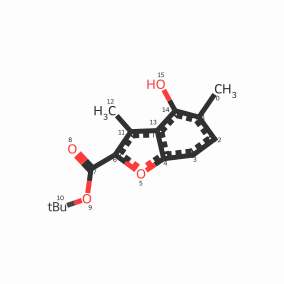 Cc1ccc2oc(C(=O)OC(C)(C)C)c(C)c2c1O